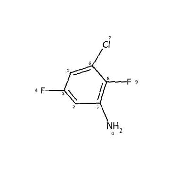 Nc1cc(F)cc(Cl)c1F